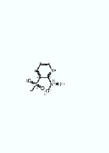 CS(=O)(=O)c1cccnc1[N+](=O)[O-]